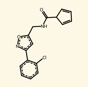 O=C(NCc1cc(-c2ccccc2Cl)no1)C1C=CC=C1